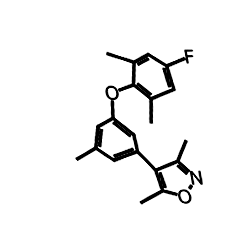 Cc1cc(Oc2c(C)cc(F)cc2C)cc(-c2c(C)noc2C)c1